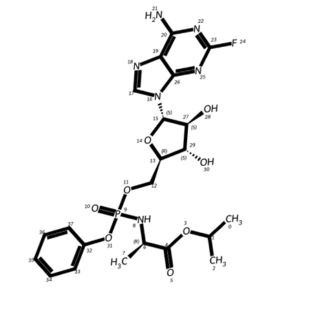 CC(C)OC(=O)[C@@H](C)NP(=O)(OC[C@H]1O[C@H](n2cnc3c(N)nc(F)nc32)[C@@H](O)[C@@H]1O)Oc1ccccc1